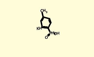 Cc1ccc([PH](=O)O)cc1.[KH]